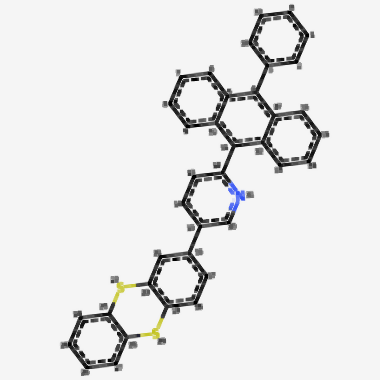 c1ccc(-c2c3ccccc3c(-c3ccc(-c4ccc5c(c4)Sc4ccccc4S5)cn3)c3ccccc23)cc1